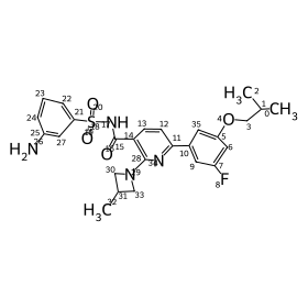 CC(C)COc1cc(F)cc(-c2ccc(C(=O)NS(=O)(=O)c3cccc(N)c3)c(N3CC(C)C3)n2)c1